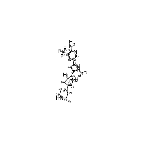 CC(C)n1nc(-c2cnc(N)c(C(F)(F)F)c2)cc1[C@H]1[C@@H]2C[C@@H](N3CCN[C@@H](C)C3)C[C@@H]21